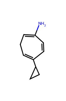 NC1=CCC=C(C2CC2)C=C1